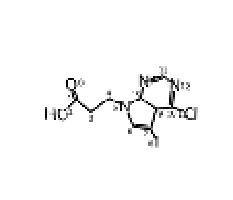 O=C(O)CCN1C=C(I)C2C(Cl)=NC=NC21